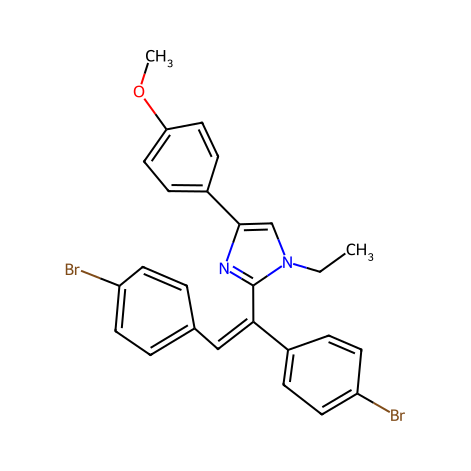 CCn1cc(-c2ccc(OC)cc2)nc1/C(=C\c1ccc(Br)cc1)c1ccc(Br)cc1